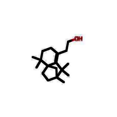 CC1(C)CCC(CCO)=C2C(C)(C)C3(C)CCC21C3